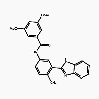 COc1cc(OC)cc(C(=O)Nc2ccc(C)c(-c3nc4ncccc4[nH]3)c2)c1